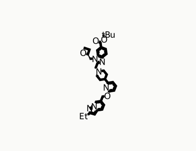 CCc1cc2ccc(COc3cccc(C4CCN(Cc5nc6ccc(C(=O)OC(C)(C)C)cc6n5C[C@@H]5CCO5)CC4)n3)cn2n1